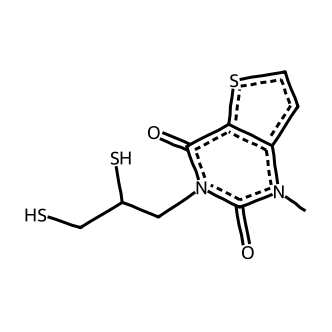 Cn1c(=O)n(CC(S)CS)c(=O)c2sccc21